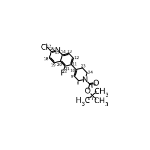 CC(C)(C)OC(=O)N1CC=C(c2ccc3nc(Cl)ccc3c2F)CC1